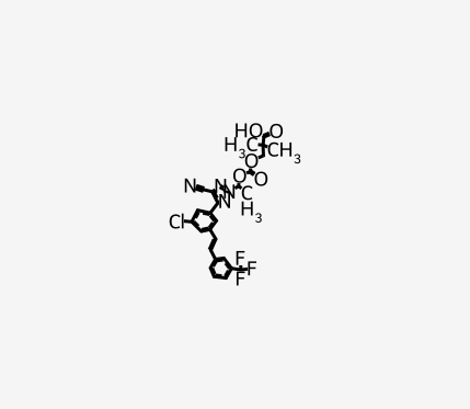 CC(OC(=O)OCC(C)(C)C(=O)O)n1nc(C#N)c(-c2cc(Cl)cc(C=Cc3cccc(C(F)(F)F)c3)c2)n1